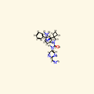 C/N=C\c1ncc(N2C[C@]3(CC[C@](c4ccccc4)(N(C)C)CC3)N(CC3(C#N)CCC3)C2=O)cn1